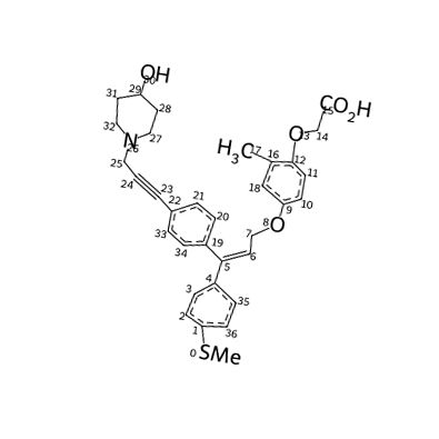 CSc1ccc(C(=CCOc2ccc(OCC(=O)O)c(C)c2)c2ccc(C#CCN3CCC(O)CC3)cc2)cc1